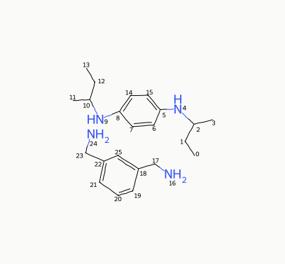 CCC(C)Nc1ccc(NC(C)CC)cc1.NCc1cccc(CN)c1